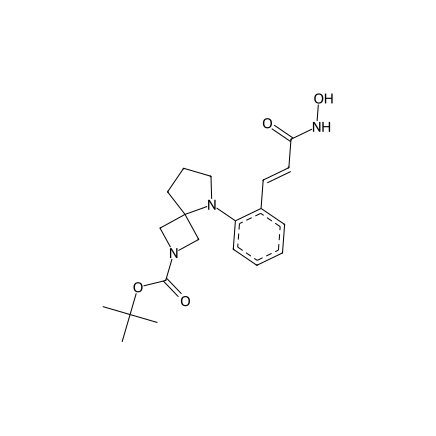 CC(C)(C)OC(=O)N1CC2(CCCN2c2ccccc2/C=C/C(=O)NO)C1